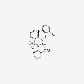 COc1ccccc1N1C(=O)N(Cc2c(F)cccc2Cl)c2ccccc2S1(=O)=O